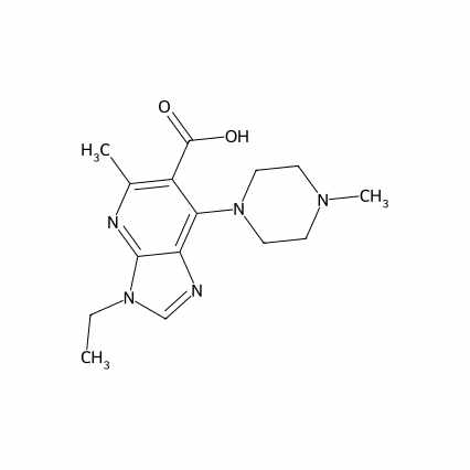 CCn1cnc2c(N3CCN(C)CC3)c(C(=O)O)c(C)nc21